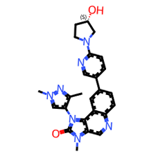 Cc1nn(C)cc1-n1c(=O)n(C)c2cnc3ccc(-c4ccc(N5CC[C@H](O)C5)nc4)cc3c21